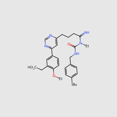 CCOc1ccc(-c2cc(CCCC(=N)N(CC)C(=O)NCc3ccc(C(C)(C)C)cc3)ncn2)cc1CC(=O)O